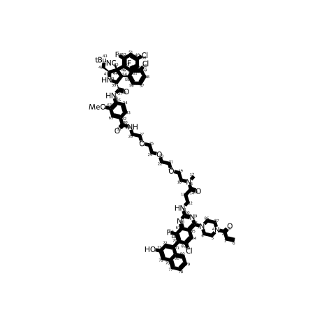 C=CC(=O)N1CCN(c2nc(NCCC(=O)N(C)CCOCCOCCOCCNC(=O)c3ccc(NC(=O)[C@@H]4N[C@@H](CC(C)(C)C)[C@](C#N)(c5ccc(Cl)cc5F)[C@H]4c4cccc(Cl)c4F)c(OC)c3)nc3c(F)c(-c4cc(O)cc5ccccc45)c(Cl)cc23)CC1